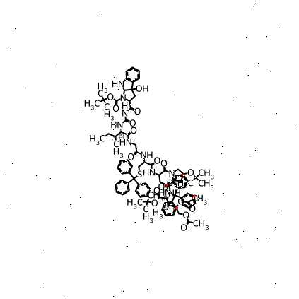 CC[C@H](C)[C@H](NC(=O)NC(=O)C1CC2(O)c3ccccc3NC2N1C(=O)OC(C)(C)C)C(=O)NCC(=O)NC(CSC(c1ccccc1)(c1ccccc1)c1ccccc1)C(=O)NC(CC(=O)NC(c1ccccc1)(c1ccccc1)c1ccccc1)C(=O)N1CC(OC(C)(C)C)C[C@H]1C(=O)N[C@H](C(=O)OC(C)(C)C)[C@@H](C)[C@H](COC(C)=O)OC(C)=O